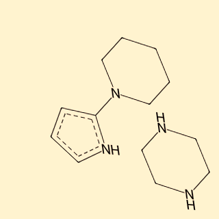 C1CNCCN1.c1c[nH]c(N2CCCCC2)c1